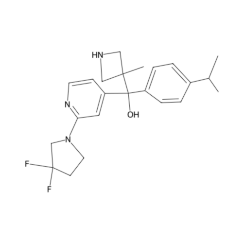 CC(C)c1ccc(C(O)(c2ccnc(N3CCC(F)(F)C3)c2)C2(C)CNC2)cc1